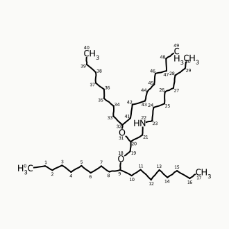 CCCCCCCCCC(CCCCCCCC)OCC(CNCCCCCCCC)OC(CCCCCCCC)CCCCCCCCC